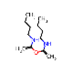 C=C(NCCCC)OC(=C)NCCCC